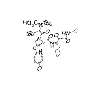 CC(C)(C)C(C(=O)N1C[C@H](Oc2ccc(Cl)cn2)C[C@H]1C(=O)N[C@@H](CC1CCC1)C(=O)C(=O)NC1CC1)N(C(=O)O)C(C)(C)C